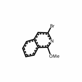 COc1nc(Br)cc2ccccc12